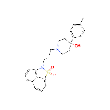 Cc1ccc(C2(O)CCN(CCCN3c4cccc5cccc(c45)S3(=O)=O)CC2)cc1